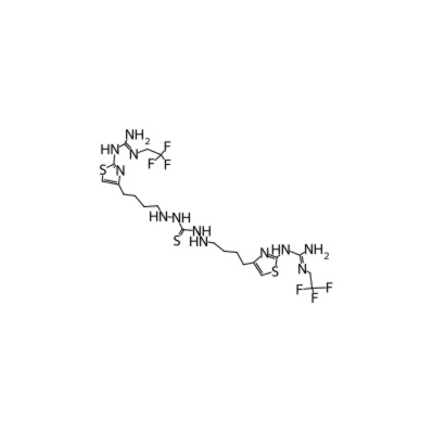 NC(=NCC(F)(F)F)Nc1nc(CCCCNNC(=S)NNCCCCc2csc(NC(N)=NCC(F)(F)F)n2)cs1